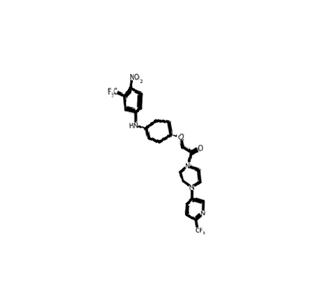 O=C(CO[C@H]1CC[C@H](Nc2ccc([N+](=O)[O-])c(C(F)(F)F)c2)CC1)N1CCN(c2ccc(C(F)(F)F)nc2)CC1